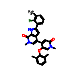 Cc1cccc(C)c1Oc1cn(C)c(=O)cc1-c1cn(C)c(=O)c2[nH]c(-c3cccc(C(F)(F)F)c3F)cc12